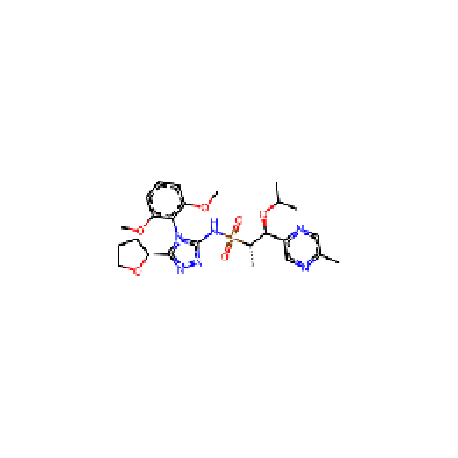 COc1cccc(OC)c1-n1c(NS(=O)(=O)[C@@H](C)[C@@H](OC(C)C)c2cnc(C)cn2)nnc1[C@@H]1CCCO1